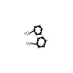 O=[N+]([O-])c1ccccc1.O=[N+]([O-])c1ccccc1